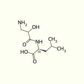 CC(C)C[C@H](NC(=O)C(O)CN)C(=O)O